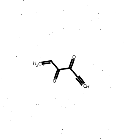 C#CC(=O)C(=O)C=C